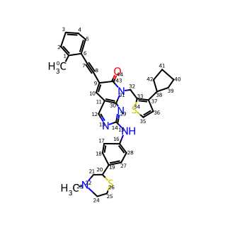 Cc1ccccc1C#Cc1cc2cnc(Nc3ccc(C4CN(C)CCS4)cc3)nc2n(Cc2sccc2C2CCCC2)c1=O